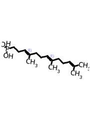 CC(C)=CCC/C(C)=C/CC/C(C)=C/CC[PH](=O)O